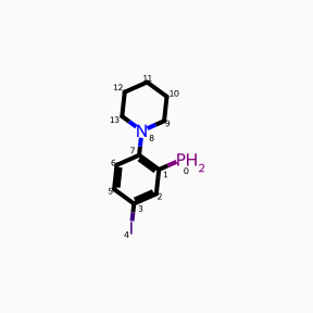 Pc1cc(I)ccc1N1CCCCC1